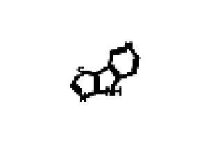 c1cc2[nH]c3ncsc3c2cn1